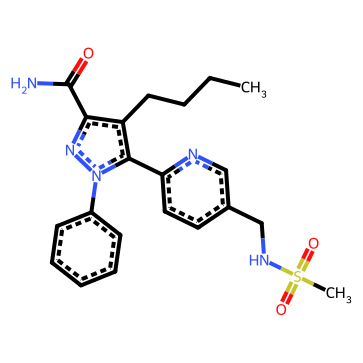 CCCCc1c(C(N)=O)nn(-c2ccccc2)c1-c1ccc(CNS(C)(=O)=O)cn1